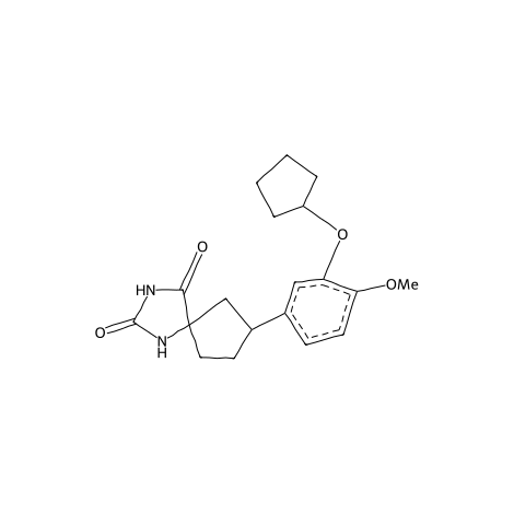 COc1ccc(C2CCC3(C2)NC(=O)NC3=O)cc1OC1CCCC1